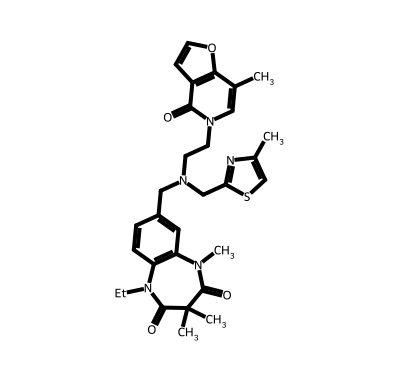 CCN1C(=O)C(C)(C)C(=O)N(C)c2cc(CN(CCn3cc(C)c4occc4c3=O)Cc3nc(C)cs3)ccc21